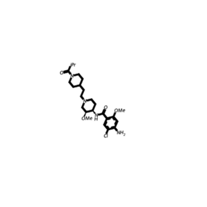 COc1cc(N)c(Cl)cc1C(=O)N[C@@H]1CCN(CCC2CCN(C(=O)C(C)C)CC2)C[C@@H]1OC